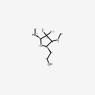 CB[C@@H]1O[C@H](CCO)C(OC)C1(F)F